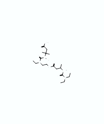 CCN(CC)C(=O)[S+]([O-])C(C)CC(=O)OCCN(CC)C(=O)[S+]([O-])C(C)(C)CC(=O)O